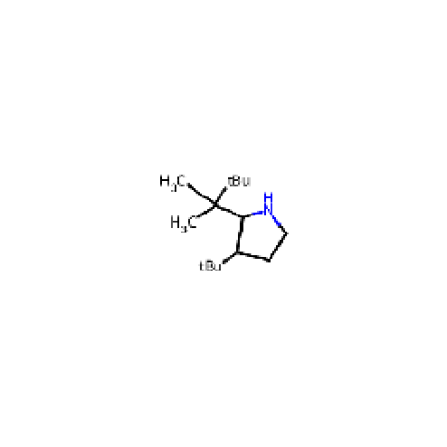 CC(C)(C)C1CCNC1C(C)(C)C(C)(C)C